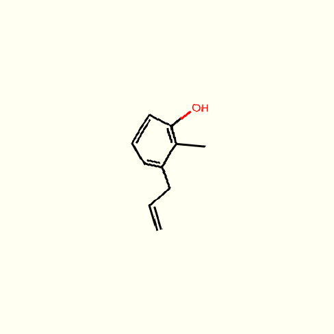 C=CCc1cccc(O)c1C